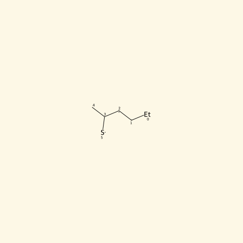 CCC[CH]C(C)[S]